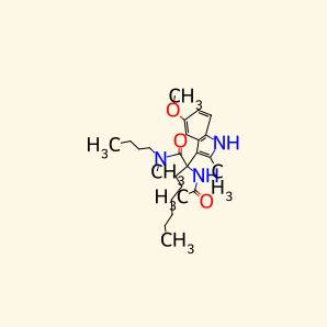 CCCCCCC(NC(C)=O)(C(=O)N(C)CCCC)c1c(C)[nH]c2ccc(OC)cc12